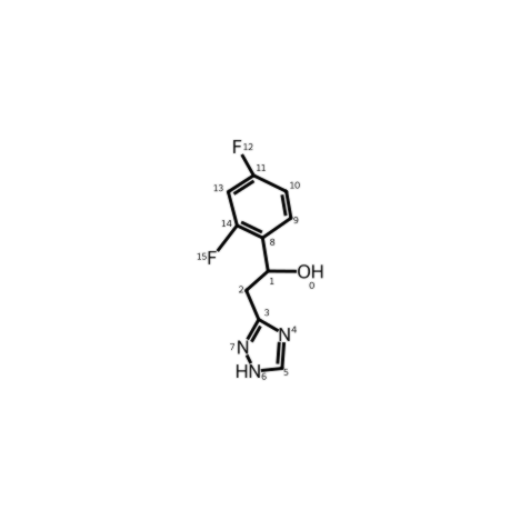 OC(Cc1nc[nH]n1)c1ccc(F)cc1F